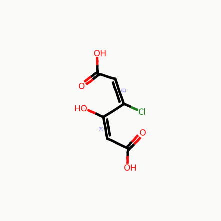 O=C(O)/C=C(O)\C(Cl)=C/C(=O)O